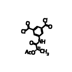 CC(=O)O[C@@H](C)C(=O)Nc1cc(C(=O)Cl)cc(C(=O)Cl)c1